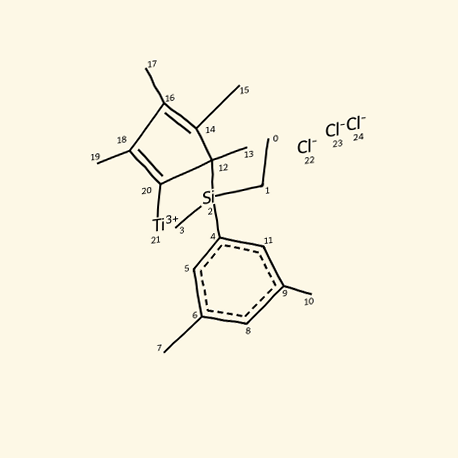 CC[Si](C)(c1cc(C)cc(C)c1)C1(C)C(C)=C(C)C(C)=[C]1[Ti+3].[Cl-].[Cl-].[Cl-]